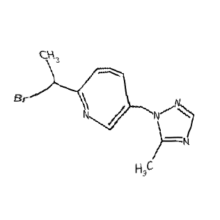 Cc1ncnn1-c1ccc(C(C)Br)nc1